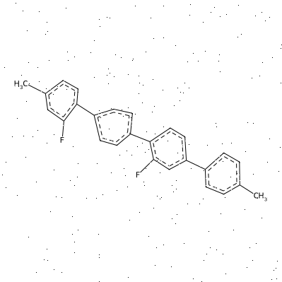 Cc1ccc(-c2ccc(-c3ccc(-c4ccc(C)cc4F)cc3)c(F)c2)cc1